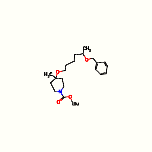 CC(CCCCOC1(C)CCN(C(=O)OC(C)(C)C)CC1)OCc1ccccc1